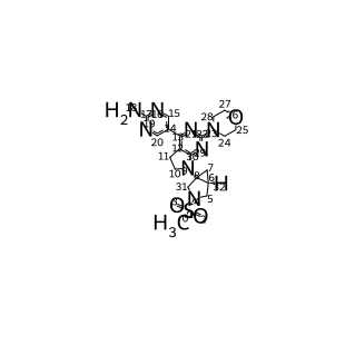 CS(=O)(=O)N1C[C@H]2C[C@@]2(N2CCc3c(-c4cnc(N)nc4)nc(N4CCOCC4)nc32)C1